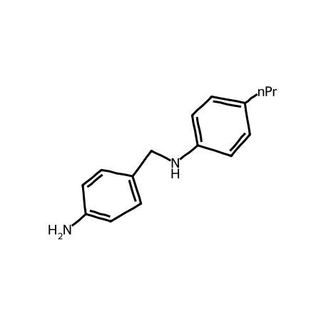 CCCc1ccc(NCc2ccc(N)cc2)cc1